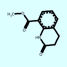 COC(=O)c1cccc2c1NC(=O)CC2